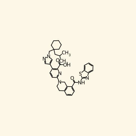 CC(C)CC1(Cn2cc(-c3ccc(N4CCc5cccc(C(=O)Nc6nc7ccccc7s6)c5C4)nc3C(=O)O)cn2)CCCCC1